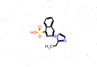 CCc1ncc[nH]1.O=S(=O)(O)c1cccc2ccccc12